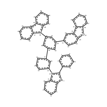 c1ccc(-c2nc3ccccc3n2-c2cccc(-c3cc(-c4ccc5oc6ccccc6c5c4)cc(-n4c5ccccc5c5ccccc54)c3)c2)cc1